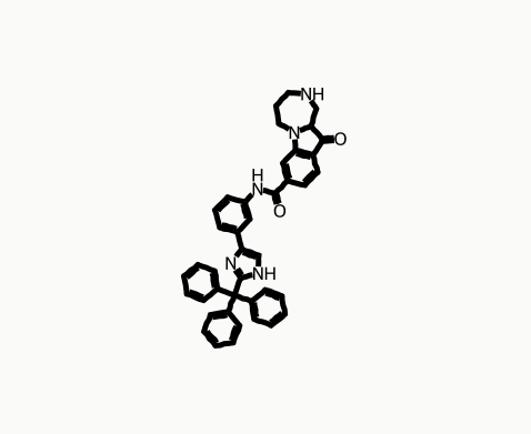 O=C(Nc1cccc(-c2c[nH]c(C(c3ccccc3)(c3ccccc3)c3ccccc3)n2)c1)c1ccc2c(c1)N1CCCNCC1C2=O